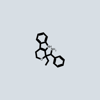 CCC1(C(N)c2ccccc2)OCCc2c1[nH]c1ccccc21